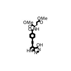 COC(=O)CC[C@@H](NC(=O)c1ccc(C#Cc2c[nH]c3ncnc(O)c23)cc1)C(=O)OC